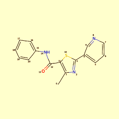 Cc1nc(-c2cccnc2)sc1C(=O)Nc1ccccc1